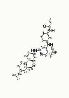 C=CC(=O)Nc1cccc(Nc2nc(Nc3ccc4c(c3)OC[C@H]3CN(C5CC5)CCN43)ncc2C(F)(F)F)c1